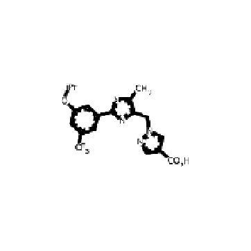 Cc1sc(-c2cc(OC(C)C)cc(C(F)(F)F)c2)nc1Cn1cc(C(=O)O)cn1